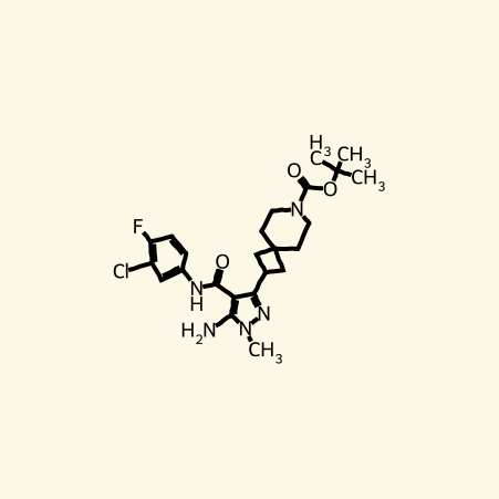 Cn1nc(C2CC3(CCN(C(=O)OC(C)(C)C)CC3)C2)c(C(=O)Nc2ccc(F)c(Cl)c2)c1N